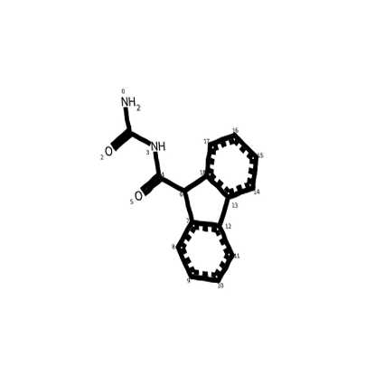 NC(=O)NC(=O)C1c2ccccc2-c2ccccc21